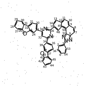 c1ccc(-n2nc3ccc4ccc5ccc(-c6nc(-c7ccc8c(c7)oc7ccccc78)cc(-c7ccc8c(c7)oc7ccccc78)n6)cc5c4c3n2)cc1